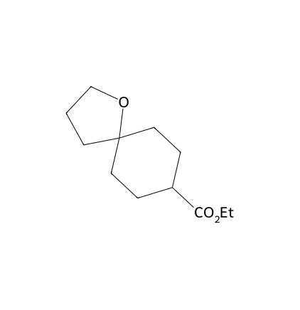 CCOC(=O)C1CCC2(CCCO2)CC1